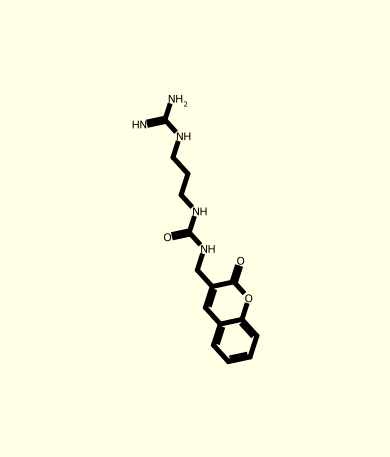 N=C(N)NCCCNC(=O)NCc1cc2ccccc2oc1=O